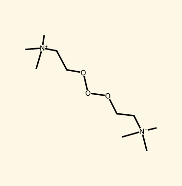 C[N+](C)(C)CCOOOCC[N+](C)(C)C